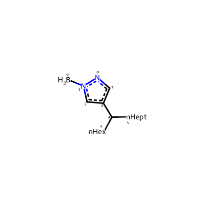 Bn1cc(C(CCCCCC)CCCCCCC)cn1